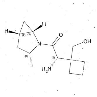 C[C@@H]1C[C@@H]2C[C@@H]2N1C(=O)[C@@H](N)C1(CO)CCC1